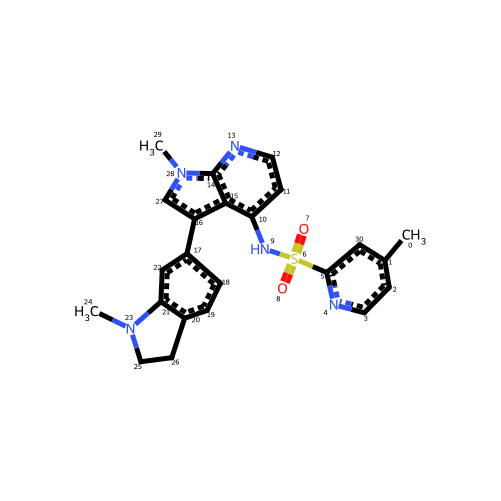 Cc1ccnc(S(=O)(=O)Nc2ccnc3c2c(-c2ccc4c(c2)N(C)CC4)cn3C)c1